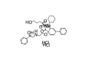 Cl.Cl.O=C(NS(=O)(=O)CCCO)C1(OCCNC[C@H](O)c2ccccc2)C=CC(c2ccccc2)=CC1NC1CCCCC1